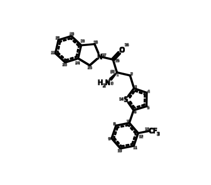 N[C@H](Cc1ccc(-c2ccccc2C(F)(F)F)s1)C(=O)N1Cc2ccccc2C1